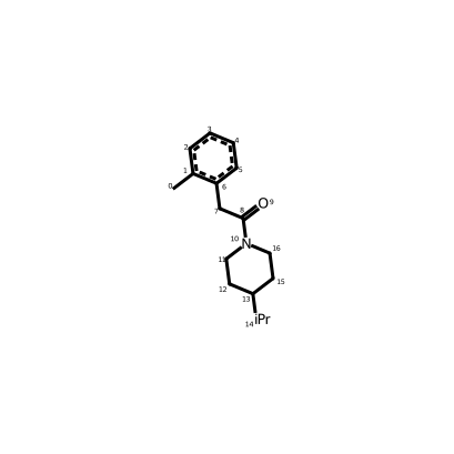 Cc1ccccc1CC(=O)N1CCC(C(C)C)CC1